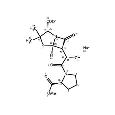 COC(=O)[C@@H]1CCCN1C(=O)[C@@H](O)[C@@H]1C(=O)N2[C@@H]1SC(C)(C)[C@@H]2C(=O)[O-].[Na+]